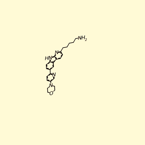 NCCCCCc1ccc2c(n1)[nH]c1ccc(-c3ccc(N4CCOCC4)cn3)cc12